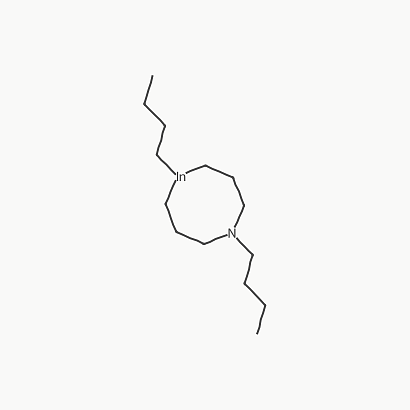 CCCCN1CC[CH2][In]([CH2]CCC)[CH2]CC1